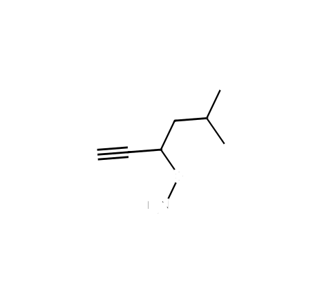 C#CC(CC(C)C)ON